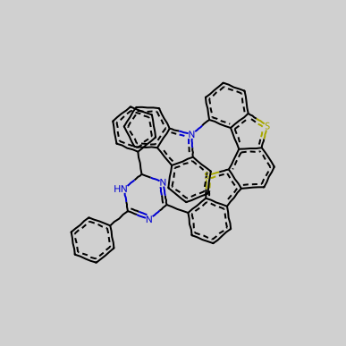 c1ccc(C2=NC(c3cccc4c3sc3c4ccc4sc5cccc(-n6c7ccccc7c7ccccc76)c5c43)=NC(c3ccccc3)N2)cc1